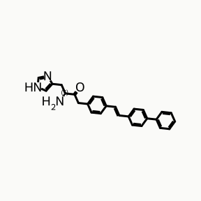 N[C@@H](Cc1c[nH]cn1)C(=O)Cc1ccc(C=Cc2ccc(-c3ccccc3)cc2)cc1